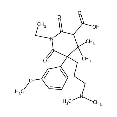 CCN1C(=O)C(C(=O)O)C(C)(C)C(CCCN(C)C)(c2cccc(OC)c2)C1=O